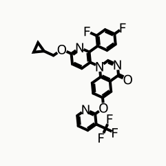 O=c1ncn(-c2ccc(OCC3CC3)nc2-c2ccc(F)cc2F)c2ccc(Oc3ncccc3C(F)(F)F)cc12